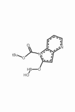 CC(C)(C)OC(=O)n1c(OBO)cc2ncccc21